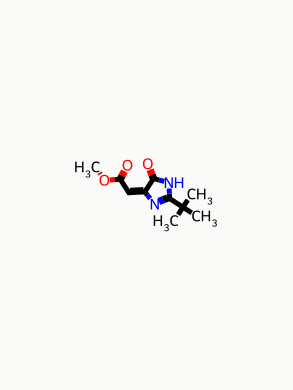 COC(=O)/C=C1/N=C(C(C)(C)C)NC1=O